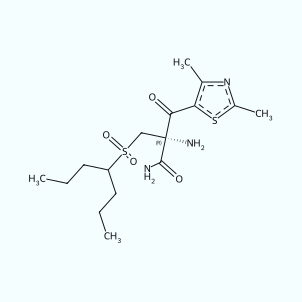 CCCC(CCC)S(=O)(=O)C[C@](N)(C(N)=O)C(=O)c1sc(C)nc1C